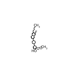 CCCCCC1=CC2C=CC(C3CCC(C4C=CC(O)=C(OCOC)C4)CC3)=CC2C=C1F